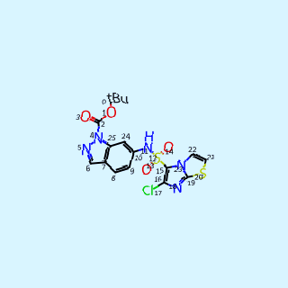 CC(C)(C)OC(=O)n1ncc2ccc(NS(=O)(=O)c3c(Cl)nc4sccn34)cc21